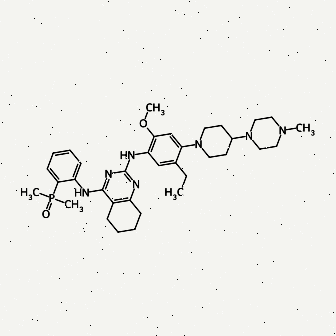 CCc1cc(Nc2nc3c(c(Nc4ccccc4P(C)(C)=O)n2)CCCC3)c(OC)cc1N1CCC(N2CCN(C)CC2)CC1